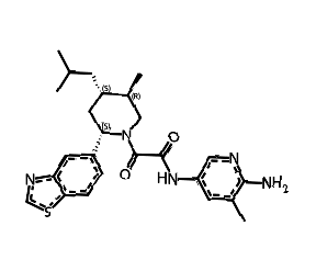 Cc1cc(NC(=O)C(=O)N2C[C@H](C)[C@@H](CC(C)C)C[C@H]2c2ccc3scnc3c2)cnc1N